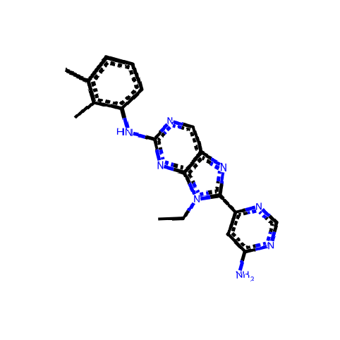 CCn1c(-c2cc(N)ncn2)nc2cnc(Nc3cccc(C)c3C)nc21